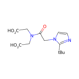 CC(C)(C)c1nccn1CC(=O)N(CC(=O)O)CC(=O)O